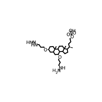 C[C@H](CCCOS(=O)(=O)O)C1CCC2C3C(CCC21C)C1(C)CC[C@@H](OCCCNN=N)CC1C[C@H]3OCCCNN